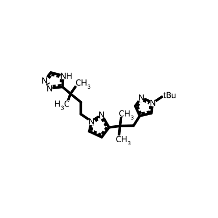 CC(C)(Cc1cnn(C(C)(C)C)c1)c1ccn(CCC(C)(C)c2nnc[nH]2)n1